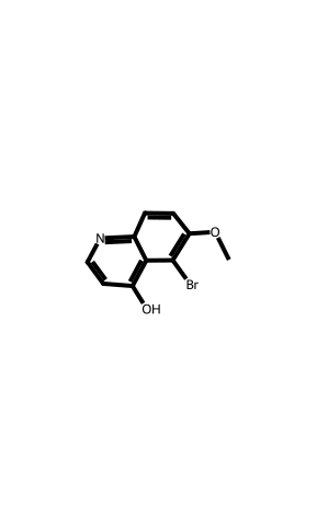 COc1ccc2nccc(O)c2c1Br